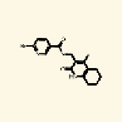 Cc1c2c([nH]c(=O)c1CNC(=O)c1ccc(Br)nc1)CCCC2